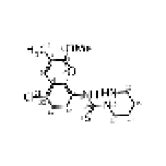 COC(=O)C(C)=Cc1cc(NC(=S)N2CCCCN2)ccc1Cl